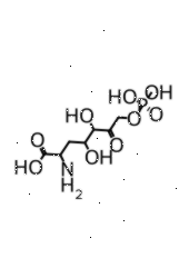 NC(CC(O)C(O)C(=O)COP(=O)(O)O)C(=O)O